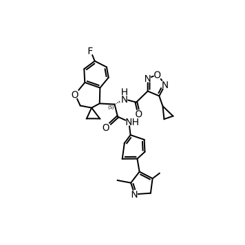 CC1=NCC(C)=C1c1ccc(NC(=O)[C@@H](NC(=O)c2nonc2C2CC2)C2c3ccc(F)cc3OCC23CC3)cc1